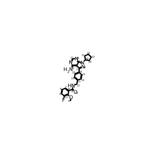 COc1c(F)cccc1C(=O)NCc1ccc(-c2nn(C3CCCC3)c3ncnc(N)c23)cc1